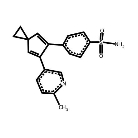 Cc1ccc(C2=CC3(C=C2c2ccc(S(N)(=O)=O)cc2)CC3)cn1